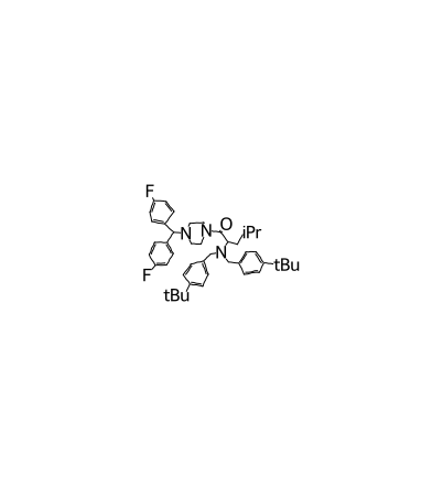 CC(C)CC(C(=O)N1CCN(C(c2ccc(F)cc2)c2ccc(F)cc2)CC1)N(Cc1ccc(C(C)(C)C)cc1)Cc1ccc(C(C)(C)C)cc1